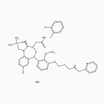 COc1c(OCCCNCc2ccccn2)cccc1C1OC(CC(=O)NCc2ccccc2F)C(=O)N(CC(C)(C)C)c2ccc(Cl)cc21.Cl